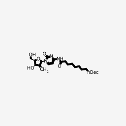 C=C1[C@H](n2ccc(NC(=O)CCCCCCCCCCCCCCCCC)nc2=O)O[C@H](CO)[C@H]1O